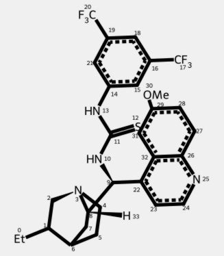 CCC1C[N@@]2CCC1C[C@H]2[C@@H](NC(=S)Nc1cc(C(F)(F)F)cc(C(F)(F)F)c1)c1ccnc2ccc(OC)cc12